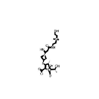 C[C@@H](O)[C@H]1C(=O)N2C(C(=O)Cl)=C(SC3CN(C(=N)CC(=O)NCC[N+](C)(C)CCO)C3)[C@H](C)[C@H]12